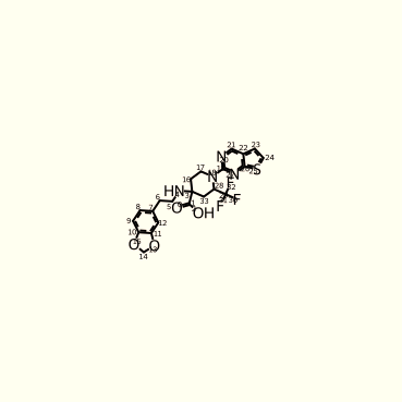 O=C(O)C1(NCCc2ccc3c(c2)OCO3)CCN(c2ncc3ccsc3n2)C(C(F)(F)F)C1